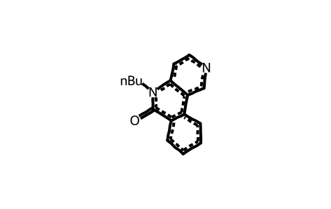 CCCCn1c(=O)c2ccccc2c2cnccc21